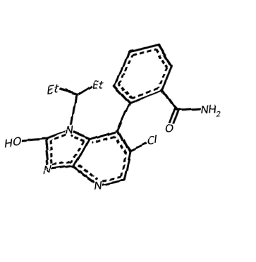 CCC(CC)n1c(O)nc2ncc(Cl)c(-c3ccccc3C(N)=O)c21